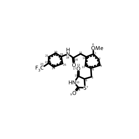 COc1ccc(CC2SC(=O)NC2=O)cc1CC(=O)Nc1ccc(C(F)(F)F)cc1